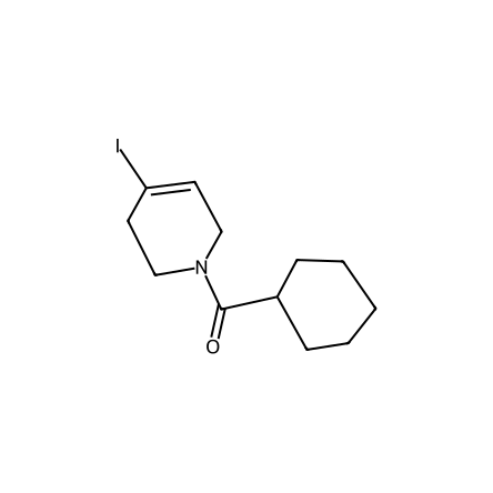 O=C(C1CCCCC1)N1CC=C(I)CC1